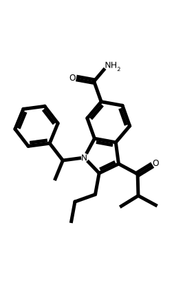 CCCc1c(C(=O)C(C)C)c2ccc(C(N)=O)cc2n1C(C)c1ccccc1